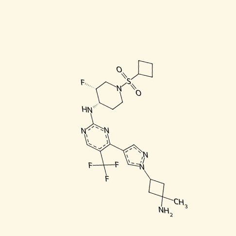 CC1(N)CC(n2cc(-c3nc(N[C@H]4CCN(S(=O)(=O)C5CCC5)C[C@H]4F)ncc3C(F)(F)F)cn2)C1